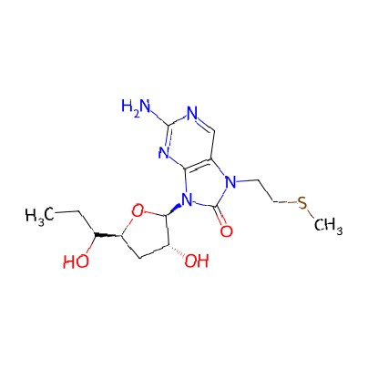 CCC(O)[C@@H]1C[C@@H](O)[C@H](n2c(=O)n(CCSC)c3cnc(N)nc32)O1